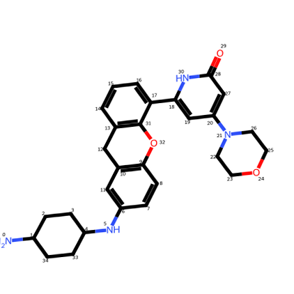 NC1CCC(Nc2ccc3c(c2)Cc2cccc(-c4cc(N5CCOCC5)cc(=O)[nH]4)c2O3)CC1